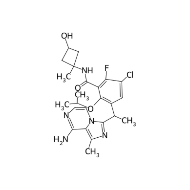 Cc1nc(C(C)c2cc(Cl)c(F)c(C(=O)NC3(C)CC(O)C3)c2OC(C)C)n2ccnc(N)c12